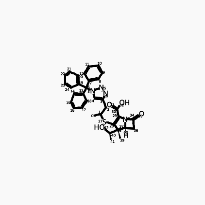 CC(Cc1cn(C(c2ccccc2)(c2ccccc2)c2ccccc2)nn1)SC1=C(C(=O)O)N2C(=O)C[C@H]2[C@]1(C)[C@@H](C)O